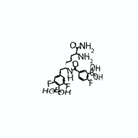 NC(=O)C(N)CCC[C@@H](Cc1cc(F)c(B(O)O)c(F)c1)NC(=O)c1ccc(F)c(B(O)O)c1